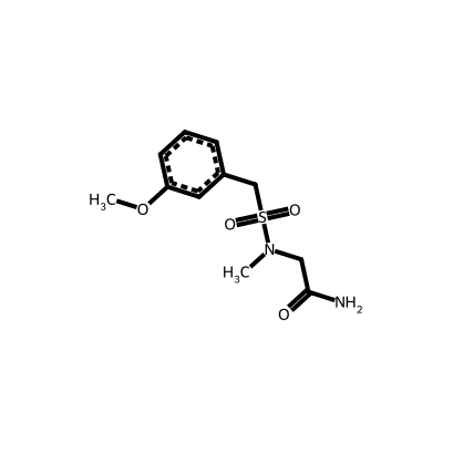 COc1cccc(CS(=O)(=O)N(C)CC(N)=O)c1